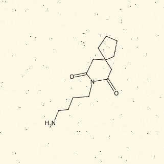 NCCCCN1C(=O)CC2(CCCC2)CC1=O